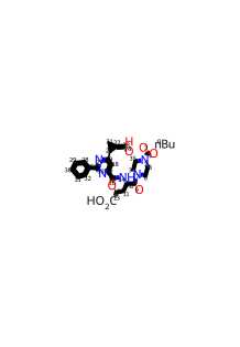 CCCCOC(=O)N1CCN(C(=O)C(CCC(=O)O)NC(=O)c2cc([C@H]3CC3=CO)nc(-c3ccccc3)n2)CC1